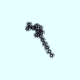 c1ccc(-c2ccc(-c3ccc(-c4ccc(-c5ccc(-c6ccc(S(c7ccccc7)(c7ccccc7)c7ccc(-n8c9ccccc9c9cc(-n%10c%11ccccc%11c%11ccccc%11%10)ccc98)c8c7sc7ccccc78)cc6)cc5)cc4)cc3)cc2)cc1